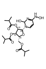 CC(C)C(=O)OC[C@H]1O[C@@H](N2C=CC(NO)=NC2O)[C@H](OC(=O)C(C)C)[C@@H]1OC(=O)C(C)C